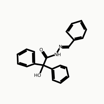 O=C(N/N=C/c1ccccc1)C(O)(c1ccccc1)c1ccccc1